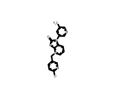 O=c1nc2n(Cc3ccc(Cl)nc3)cccc-2n1-c1cncc(C(F)(F)F)c1